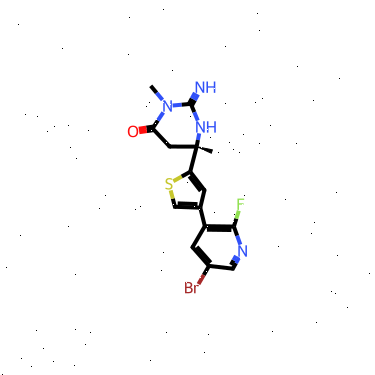 CN1C(=N)N[C@](C)(c2cc(-c3cc(Br)cnc3F)cs2)CC1=O